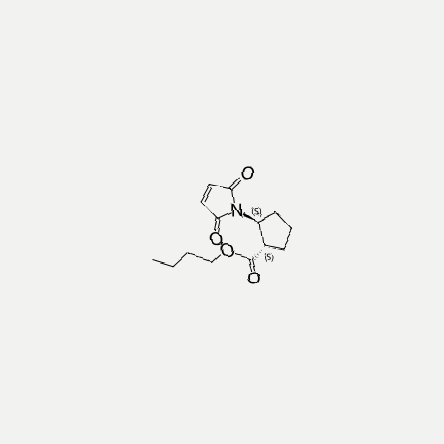 CCCCOC(=O)[C@H]1CCC[C@@H]1N1C(=O)C=CC1=O